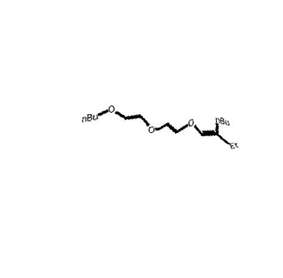 CCCCOCCOCCOC=C(CC)CCCC